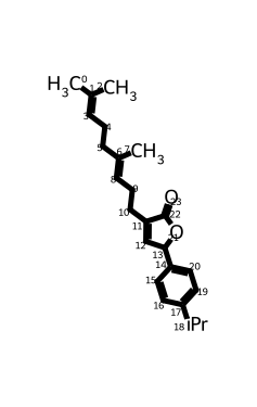 CC(C)=CCC/C(C)=C/CCC1=CC(c2ccc(C(C)C)cc2)OC1=O